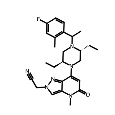 CC[C@H]1CN(C(C)c2ccc(F)cc2C)[C@H](CC)CN1c1cc(=O)n(C)c2cn(CC#N)nc12